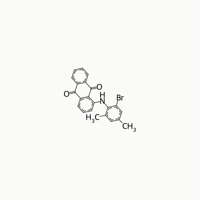 Cc1cc(C)c(Nc2cccc3c2C(=O)c2ccccc2C3=O)c(Br)c1